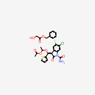 CC(=O)OC(C)OC(=C1C(=O)N(C(N)=O)c2cc(Cl)c(F)cc21)c1cccs1.O=C(CO)OCc1ccccc1